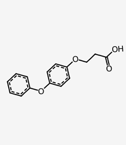 O=C(O)CCOc1ccc(Oc2ccccc2)cc1